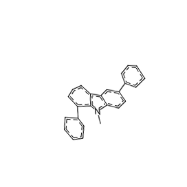 Cn1c2ccc(-c3ccccc3)cc2c2cccc(-c3ccccc3)c21